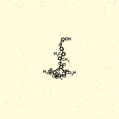 Cc1c(COc2cc(OCc3cc(S(C)(=O)=O)cc(S(C)(=O)=O)c3)c(CNC(C)(CO)C(=O)O)cc2Cl)cccc1-c1cccc(-c2ccc(OCCN3CC[C@@H](O)C3)cc2)c1C